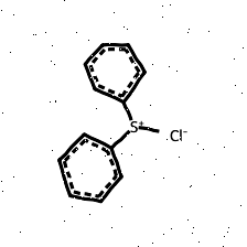 C[S+](c1ccccc1)c1ccccc1.[Cl-]